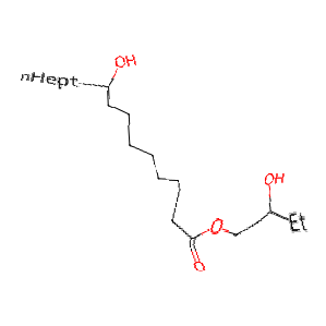 CCCCCCCC(O)CCCCCCCC(=O)OCC(O)CC